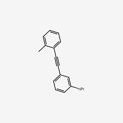 CCCc1cccc(C#Cc2ccccc2C)c1